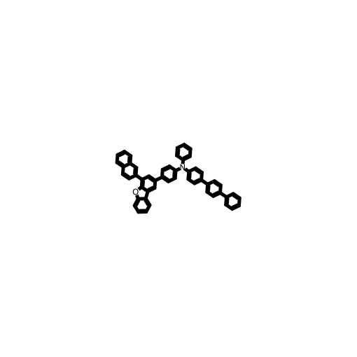 c1ccc(-c2ccc(-c3ccc(N(c4ccccc4)c4ccc(-c5cc(-c6ccc7ccccc7c6)c6oc7ccccc7c6c5)cc4)cc3)cc2)cc1